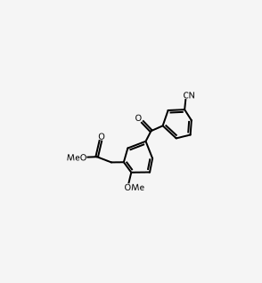 COC(=O)Cc1cc(C(=O)c2cccc(C#N)c2)ccc1OC